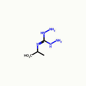 CC(N=C(NN)NN)C(=O)O